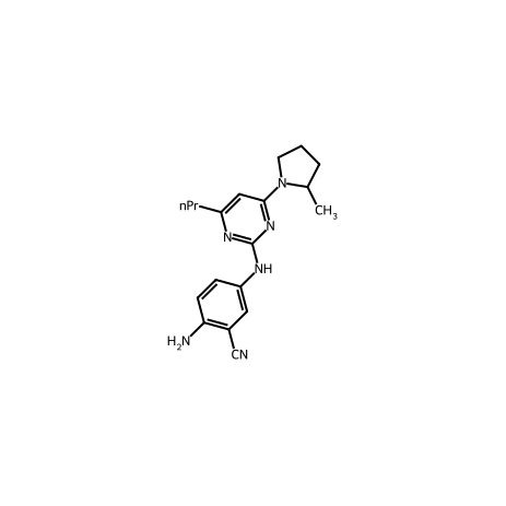 CCCc1cc(N2CCCC2C)nc(Nc2ccc(N)c(C#N)c2)n1